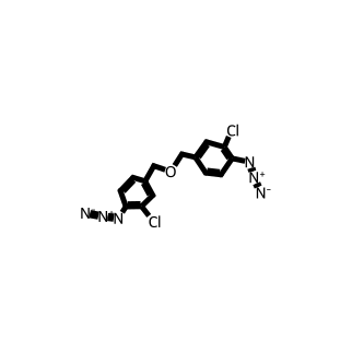 [N-]=[N+]=Nc1ccc(COCc2ccc(N=[N+]=[N-])c(Cl)c2)cc1Cl